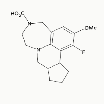 COc1cc2c3c(c1F)C1CCCC1CN3CCN(C(=O)O)C2